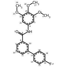 COc1cc(NC(=O)c2cncc(-c3ccc(F)cc3)c2)cc(OC)c1OC